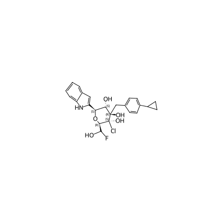 OC(F)[C@H]1O[C@@H](c2cc3ccccc3[nH]2)[C@H](O)[C@](O)(Cc2ccc(C3CC3)cc2)[C@@]1(O)Cl